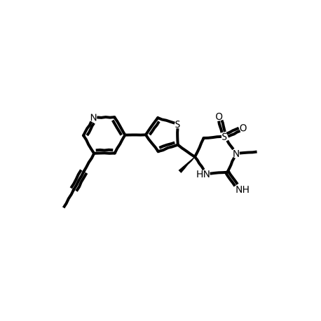 CC#Cc1cncc(-c2csc([C@]3(C)CS(=O)(=O)N(C)C(=N)N3)c2)c1